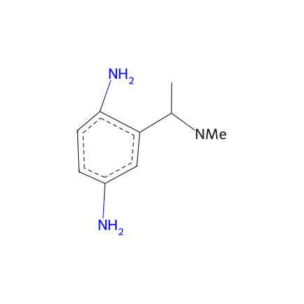 CNC(C)c1cc(N)ccc1N